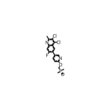 Cc1nc2cc(F)c(-c3ccc(OCP(C)(C)=O)nc3)cc2c(Cl)c1Cl